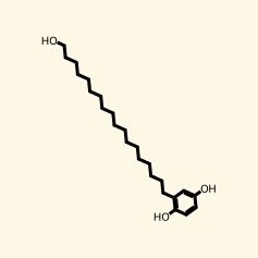 OCCCCCCCCCCCCCCCCCCc1cc(O)ccc1O